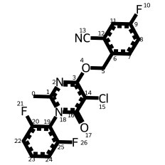 Cc1nc(OCc2ccc(F)cc2C#N)c(Cl)c(=O)n1-c1c(F)cccc1F